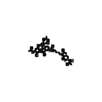 CC(=O)NC(F)CC1CC(=O)N(CCCCNC(=O)c2ccc3c(c2)C(=O)OC32c3cc(Cl)c(OC(C)=O)cc3Oc3cc(OC(C)=O)c(Cl)cc32)C1=O